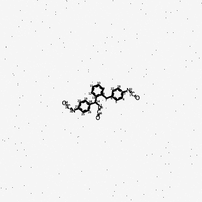 O=C=Nc1ccc(Cc2ccccc2C(N=C=O)c2ccc(N=C=O)cc2)cc1